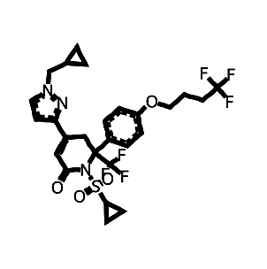 O=C1C=C(c2ccn(CC3CC3)n2)CC(c2ccc(OCCCC(F)(F)F)cc2)(C(F)(F)F)N1S(=O)(=O)C1CC1